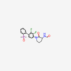 CP(C)(=O)c1ccccc1-c1ccc(N2CCCC(NC=O)C2=O)c(F)c1F